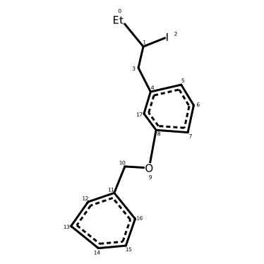 CCC(I)Cc1cccc(OCc2ccccc2)c1